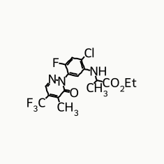 CCOC(=O)C(C)Nc1cc(-n2ncc(C(F)(F)F)c(C)c2=O)c(F)cc1Cl